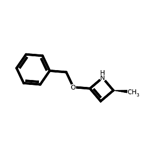 C[C@H]1C=C(OCc2ccccc2)N1